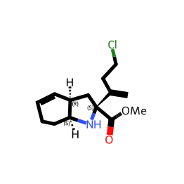 C=C(CCCl)[C@]1(C(=O)OC)C[C@@H]2C=CCC[C@@H]2N1